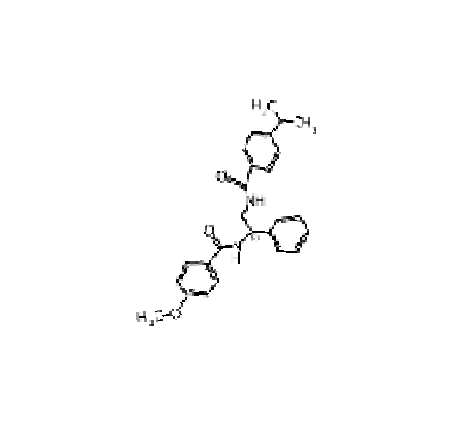 COc1ccc(C(=O)N[C@@H](CNC(=O)c2ccc(C(C)C)cc2)c2ccccc2)cc1